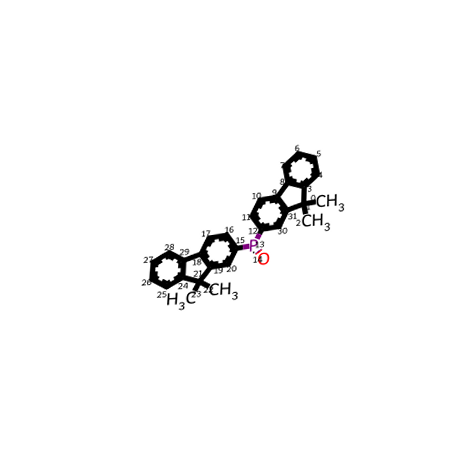 CC1(C)c2ccccc2-c2ccc([P](=O)c3ccc4c(c3)C(C)(C)c3ccccc3-4)cc21